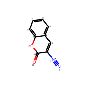 N#[N+]c1cc2ccccc2oc1=O